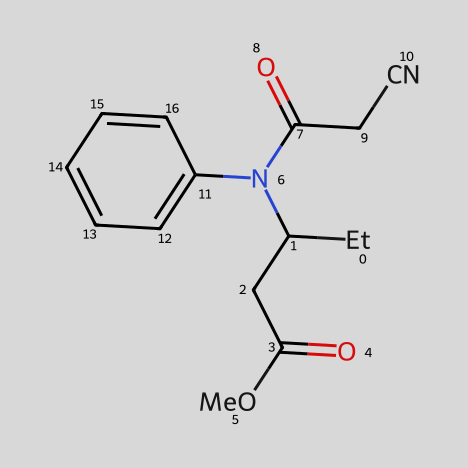 CCC(CC(=O)OC)N(C(=O)CC#N)c1ccccc1